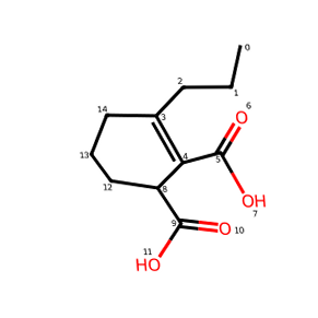 CCCC1=C(C(=O)O)C(C(=O)O)CCC1